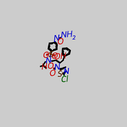 CC(C)CN(CC(O)C(Cc1ccccc1)N(C(=O)O)c1cnc(Cl)s1)S(=O)(=O)c1ccc2nc(N)oc2c1